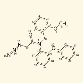 COc1ccccc1CN(C(=O)CN=[N+]=[N-])c1ccccc1Oc1ccccc1